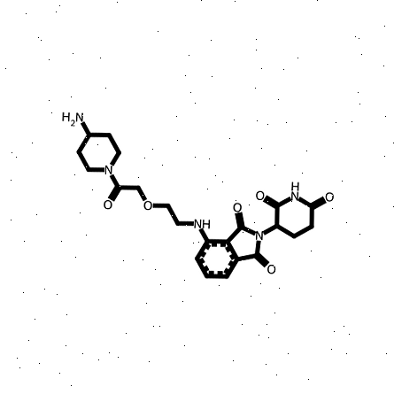 NC1CCN(C(=O)COCCNc2cccc3c2C(=O)N(C2CCC(=O)NC2=O)C3=O)CC1